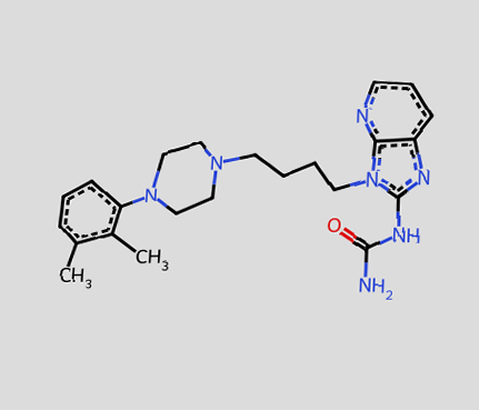 Cc1cccc(N2CCN(CCCCn3c(NC(N)=O)nc4cccnc43)CC2)c1C